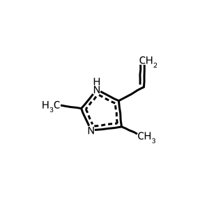 C=Cc1[nH]c(C)nc1C